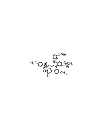 COc1cccc(Nc2ccc(CS(C)(=O)=O)cc2N2C=C3CN(S(=O)(=O)c4ccc(C)cc4)c4c3c(c[nH]c4=O)-c3ccc(C)cc32)n1